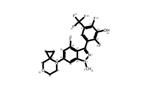 Cn1nc(-c2cc(C(F)(F)F)c(F)c(O)c2F)c2c(F)cc(N3CCOCC34CC4)cc21